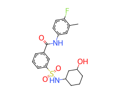 Cc1cc(NC(=O)c2cccc(S(=O)(=O)NC3CCCC(O)C3)c2)ccc1F